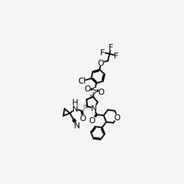 N#CC1(NC(=O)[C@@H]2C[C@@H](S(=O)(=O)c3ccc(OCC(F)(F)F)cc3Cl)CN2C(=O)C2CCOCC2c2ccccc2)CC1